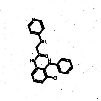 O=C(CNc1ccncc1)Nc1cccc(Cl)c1Nc1ccccc1